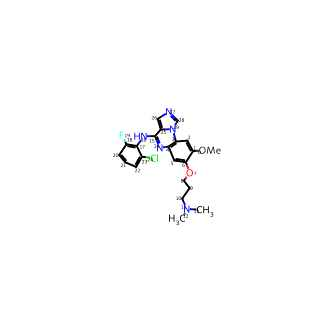 COc1cc2c(cc1OCCCN(C)C)nc(Nc1c(F)cccc1Cl)c1cncn12